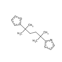 CC(C)(CCC(C)(C)c1nccs1)c1ccco1